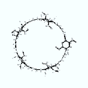 COC1C[C@H]2CSSC[C@@H]3CC(OC)[C@H](CSSC[C@H]4CC(OC)[C@@H](CSSC[C@@H]5CC(OC)[C@H](CSSC[C@@H]6CC(OC)[C@H](CSSC[C@@H]1CC2OC)CC6OC)CC5OC)CC4OC)CC3OC